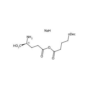 CCCCCCCCCCCCCC(=O)OC(=O)CC[C@H](N)C(=O)O.[NaH]